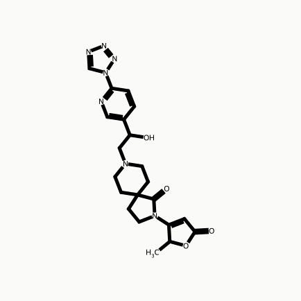 CC1OC(=O)C=C1N1CCC2(CCN(CC(O)c3ccc(-n4cnnn4)nc3)CC2)C1=O